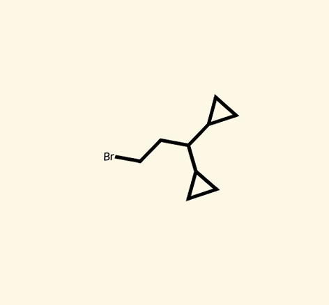 BrCCC(C1CC1)C1CC1